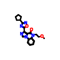 COCCn1c(=O)c2c(-c3nc(C4CCCC4)no3)ncn2c2ccccc21